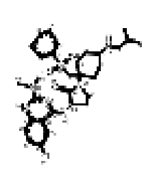 CC(C)CNC1CCC(CS(=O)(=O)c2ccccc2)(N2CC[C@H](Nc3nc(N(C)C)nc4ccc(Cl)cc34)C2=O)CC1